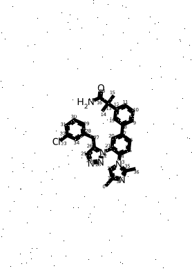 Cc1cn(-c2ccc(-c3cccc(C(C)(C)C(N)=O)c3)cc2-n2nncc2Cc2cccc(Cl)c2)c(C)n1